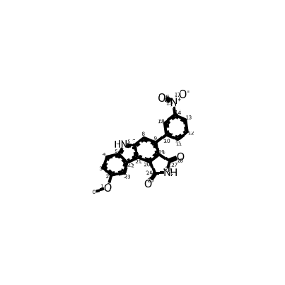 COc1ccc2[nH]c3cc(-c4cccc([N+](=O)[O-])c4)c4c(c3c2c1)C(=O)NC4=O